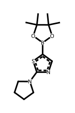 CC1(C)OB(c2cnc(N3CCCC3)s2)OC1(C)C